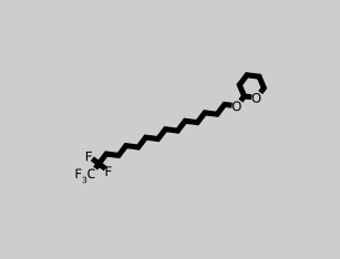 FC(F)(F)C(F)(F)CCCCCCCCCCCCCOC1CCCCO1